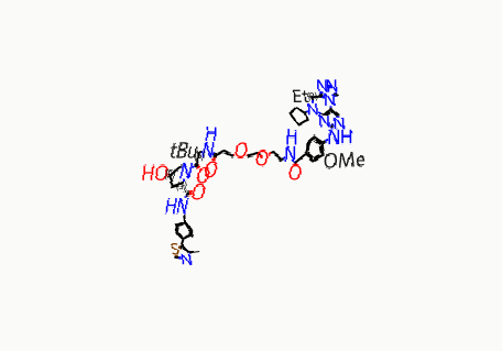 CC[C@@H]1c2nncn2-c2cnc(Nc3ccc(C(=O)NCCOCCOCCC(=O)N[C@H](C(=O)N4C[C@H](O)C[C@H]4C(=O)NCc4ccc(-c5scnc5C)cc4)C(C)(C)C)cc3OC)nc2N1C1CCCC1